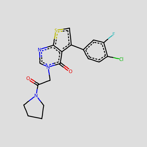 O=C(Cn1cnc2scc(-c3ccc(Cl)c(F)c3)c2c1=O)N1CCCC1